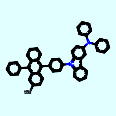 CC(C)(C)c1ccc2c(-c3ccc(-n4c5ccccc5c5cc(N(c6ccccc6)c6ccccc6)ccc54)cc3)c3ccccc3c(-c3ccccc3)c2c1